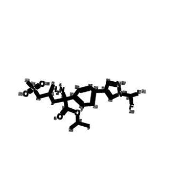 CC(CC(N)(C(=O)OC(C)C)c1ccc(-c2cnn(C(F)F)c2)cc1)CS(C)(=O)=O